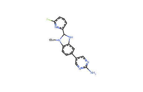 CC(C)(C)N1c2ccc(-c3cnc(N)nc3)cc2NC1c1cccc(F)n1